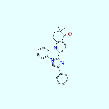 CC1(C)CCc2nc(-c3nc(-c4ccccc4)cn3-c3ccccc3)ccc2C1=O